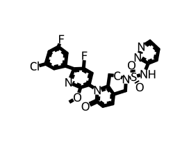 COc1nc(-c2cc(F)cc(Cl)c2)c(F)cc1-n1c2c(ccc1=O)CN(S(=O)(=O)Nc1cccnn1)CC2